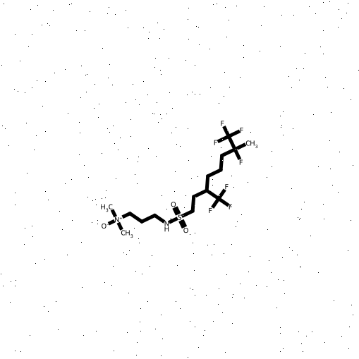 CC(F)(CCCC(CCS(=O)(=O)NCCC[N+](C)(C)[O-])C(F)(F)F)C(F)(F)F